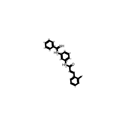 Cc1ccccc1/C=C/C(=O)Nc1cccc(NC(=N)c2ccccc2)c1